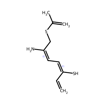 C=C/C(S)=C\C=C(\N)CSC(=C)C